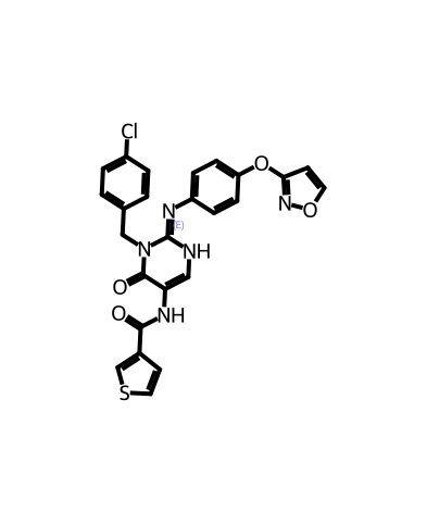 O=C(Nc1c[nH]/c(=N\c2ccc(Oc3ccon3)cc2)n(Cc2ccc(Cl)cc2)c1=O)c1ccsc1